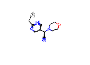 CCc1ncc(C(C#N)N2CCOCC2)cn1